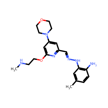 CNCCOc1cc(N2CCOCC2)cc(C=NNc2cc(C)ccc2N)n1